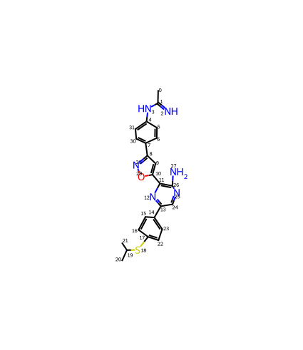 CC(=N)Nc1ccc(-c2cc(-c3nc(-c4ccc(SC(C)C)cc4)cnc3N)on2)cc1